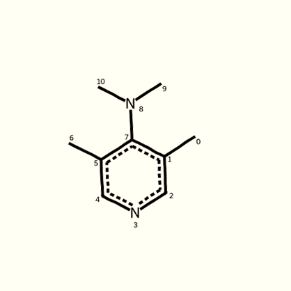 Cc1cncc(C)c1N(C)C